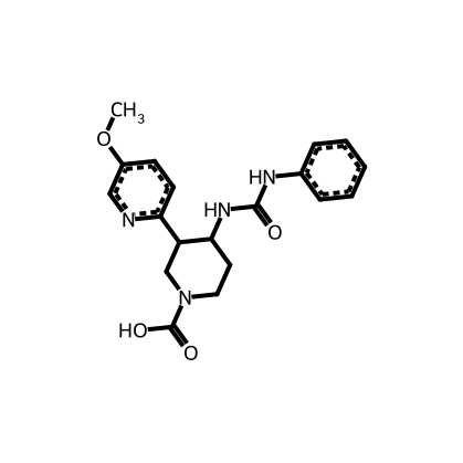 COc1ccc(C2CN(C(=O)O)CCC2NC(=O)Nc2ccccc2)nc1